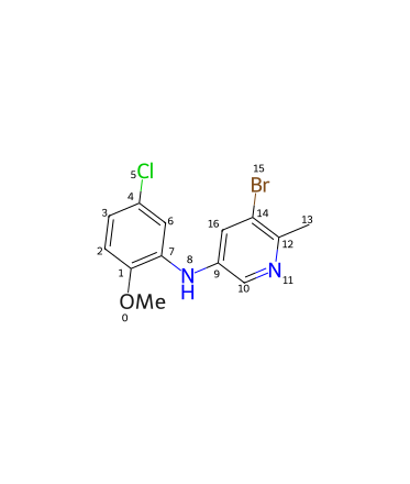 COc1ccc(Cl)cc1Nc1cnc(C)c(Br)c1